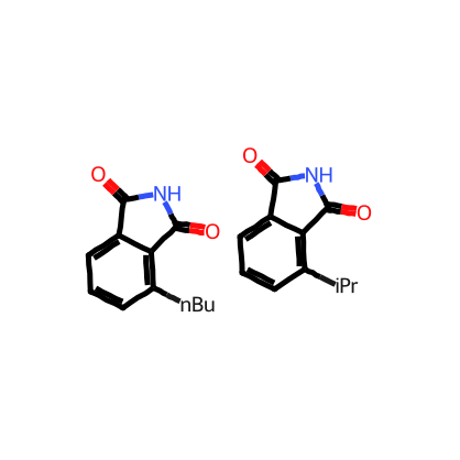 CC(C)c1cccc2c1C(=O)NC2=O.CCCCc1cccc2c1C(=O)NC2=O